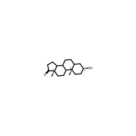 C[C@]12CC[C@H](O)CC1CCC1C2CC[C@]2(C)C(=O)CCC12